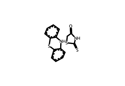 O=C1CSC(=S)N1.c1ccc2c(c1)Nc1ccccc1S2